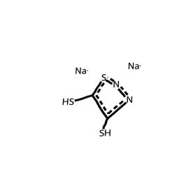 Sc1nnsc1S.[Na].[Na]